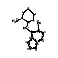 CC1CCCCC1Nc1c(C#N)cnn2nncc12